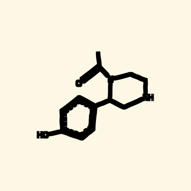 CC(=O)N1CCNCC1c1ccc(O)cc1